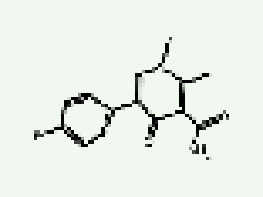 Cc1c(C(N)=O)c(=O)c(-c2ccc(F)cn2)cn1C